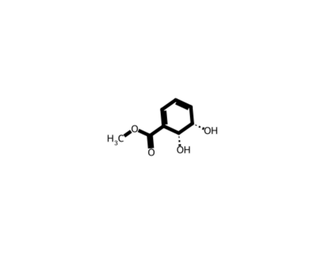 COC(=O)C1=CC=C[C@H](O)[C@@H]1O